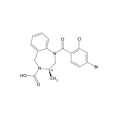 C[C@@H]1CN(C(=O)c2ccc(Br)cc2Cl)c2ccccc2CN1C(=O)O